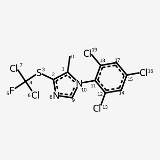 Cc1c(SC(F)(Cl)Cl)ncn1-c1c(Cl)cc(Cl)cc1Cl